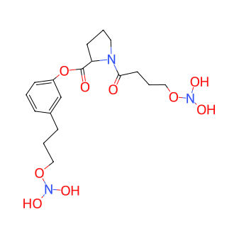 O=C(Oc1cccc(CCCON(O)O)c1)C1CCCN1C(=O)CCCON(O)O